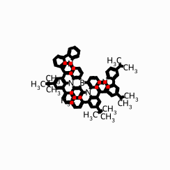 Cc1cc2c3c(c1)N(c1c(-c4ccccc4)cc(C(C)(C)C)cc1-c1ccccc1)c1cc(-n4c5ccc(C(C)C)cc5c5cc(C(C)C)ccc54)ccc1B3c1ccc(-n3c4ccccc4c4ccccc43)cc1N2c1c(-c2ccccc2)cc(C(C)(C)C)cc1-c1ccccc1